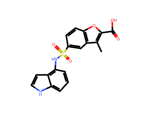 Cc1c(C(=O)O)oc2ccc(S(=O)(=O)Nc3cccc4[nH]ccc34)cc12